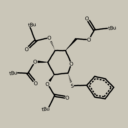 CC(C)(C)C(=O)OC[C@H]1O[C@H](Sc2ccccc2)[C@@H](OC(=O)C(C)(C)C)[C@@H](OC(=O)C(C)(C)C)[C@@H]1OC(=O)C(C)(C)C